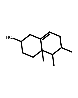 CC1CC=C2CC(O)CCC2(C)C1C